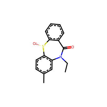 CCN1C(=O)c2ccccc2[S@@+]([O-])c2ccc(C)cc21